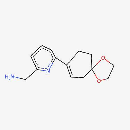 NCc1cccc(C2=CCC3(CC2)OCCO3)n1